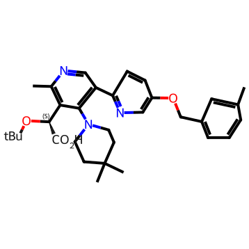 Cc1cccc(COc2ccc(-c3cnc(C)c([C@H](OC(C)(C)C)C(=O)O)c3N3CCC(C)(C)CC3)nc2)c1